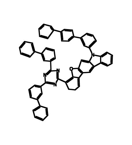 C1=c2c(oc3cc4c(cc23)c2ccccc2n4-c2cccc(-c3ccc(-c4ccccc4)cc3)c2)=C(c2nc(-c3cccc(-c4ccccc4)c3)nc(-c3cccc(-c4ccccc4)c3)n2)CC1